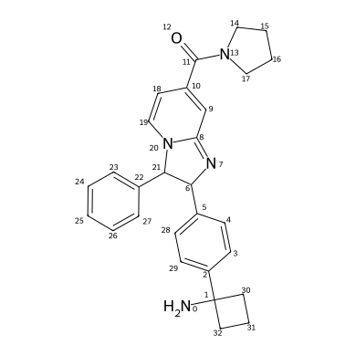 NC1(c2ccc(C3N=C4C=C(C(=O)N5CCCC5)C=CN4C3c3ccccc3)cc2)CCC1